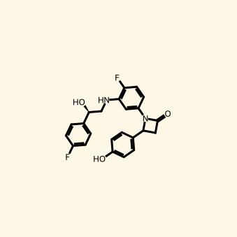 O=C1CC(c2ccc(O)cc2)N1c1ccc(F)c(NC[C@H](O)c2ccc(F)cc2)c1